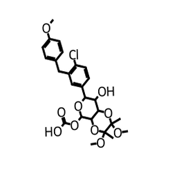 COc1ccc(Cc2cc(C3OC(OC(=O)O)C4OC(C)(OC)C(C)(OC)OC4C3O)ccc2Cl)cc1